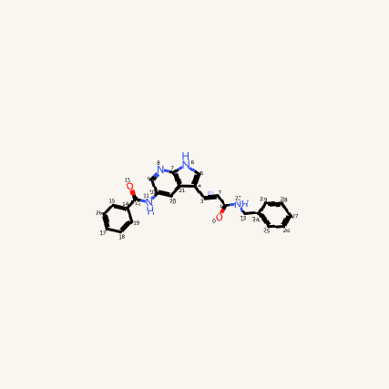 O=C(/C=C/c1c[nH]c2ncc(NC(=O)c3ccccc3)cc12)NCc1ccccc1